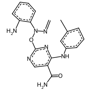 C=NN(Oc1ncc(C(N)=O)c(Nc2cccc(C)c2)n1)c1ccccc1N